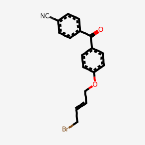 N#Cc1ccc(C(=O)c2ccc(OC/C=C/CBr)cc2)cc1